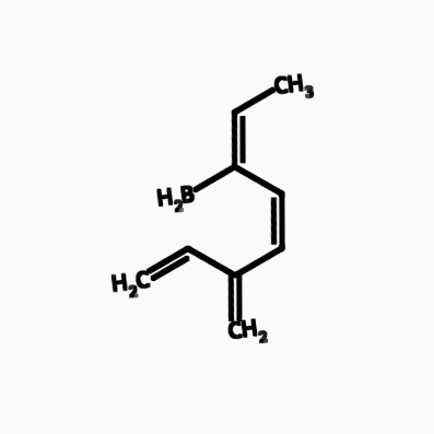 BC(/C=C\C(=C)C=C)=C/C